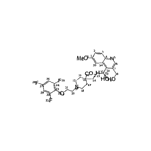 COc1ccc2ncc(CO)c([C@@H](O)CCC3(C(=O)O)CCN(CCOc4c(F)cc(F)cc4F)CC3)c2c1